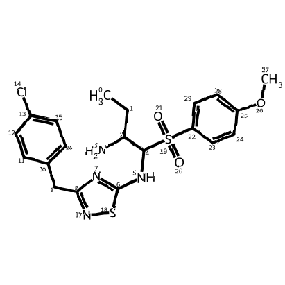 CCC(N)C(Nc1nc(Cc2ccc(Cl)cc2)ns1)S(=O)(=O)c1ccc(OC)cc1